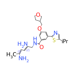 C/C(N)=C/C=C(\N)CNC(=O)c1cc(OCC2CCOC2)cc(-c2ncc(C(C)C)s2)c1